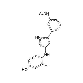 CC(=O)Nc1cccc(-c2cc(Nc3ccc(O)cc3C)n[nH]2)c1